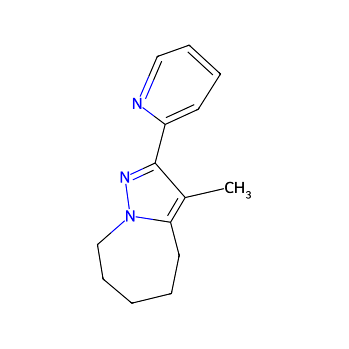 Cc1c(-c2ccccn2)nn2c1CCCCC2